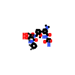 COc1c(CN2O[C@@H](CO)[C@H]([C@H](C)O)[C@H]2C(=O)N[C@H]2CCC[C@H](C)[C@@H]2C)cccc1-c1cc(C(=O)N[C@@H]2CONC2=O)cc(N(C)C)c1